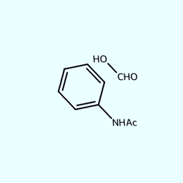 CC(=O)Nc1ccccc1.O=CO